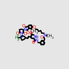 COc1cnc(C(=O)NCc2cccc(CC(=O)N(C)CCCCCCOc3ccc4c(c3)C(=O)N(C3CCC(=O)NC3=O)C4=O)c2)cc1C=CC1CCC(C(F)(F)F)CC1